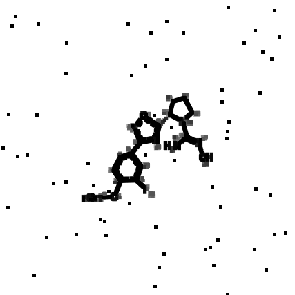 CCCCCCCCOc1ccc(-c2noc([C@@H]3CCCN3/C(N)=N/O)n2)cc1F